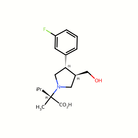 CC(C)[C@](C)(C(=O)O)N1C[C@H](CO)[C@@H](c2cccc(F)c2)C1